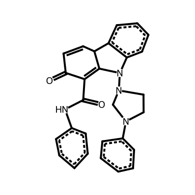 O=C1C=CC2C(=C1C(=O)Nc1ccccc1)N(N1CCN(c3ccccc3)C1)c1ccccc12